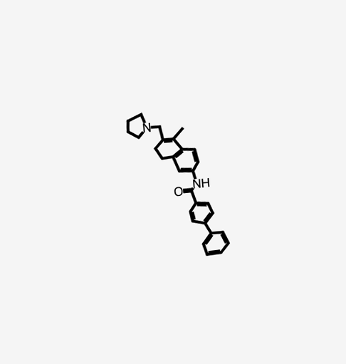 CC1=C(CN2CCCC2)CCc2cc(NC(=O)c3ccc(-c4ccccc4)cc3)ccc21